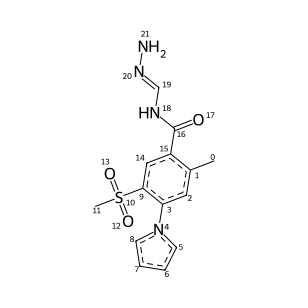 Cc1cc(-n2cccc2)c(S(C)(=O)=O)cc1C(=O)NC=NN